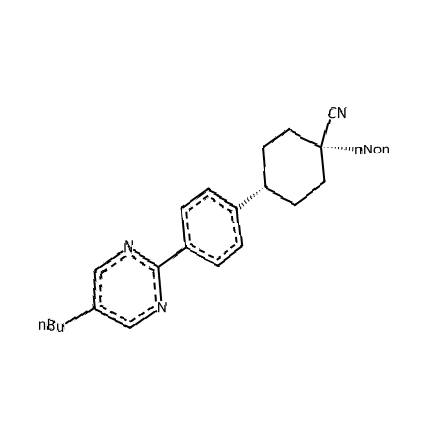 CCCCCCCCC[C@]1(C#N)CC[C@H](c2ccc(-c3ncc(CCCC)cn3)cc2)CC1